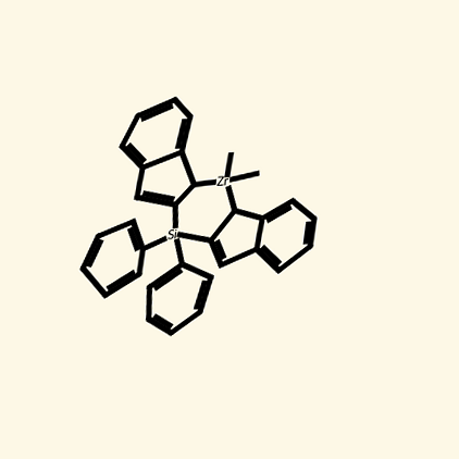 [CH3][Zr]1([CH3])[CH]2C(=Cc3ccccc32)[Si](c2ccccc2)(c2ccccc2)C2=Cc3ccccc3[CH]21